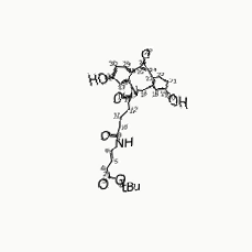 CC(C)(C)OC(=O)CCCNC(=O)CCCC(=O)N1Cc2cc(O)ccc2-c2c(c2=O)-c2ccc(O)cc21